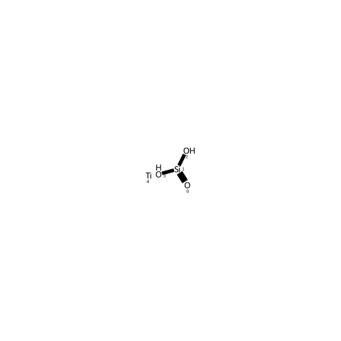 O=[Si](O)O.[Ti]